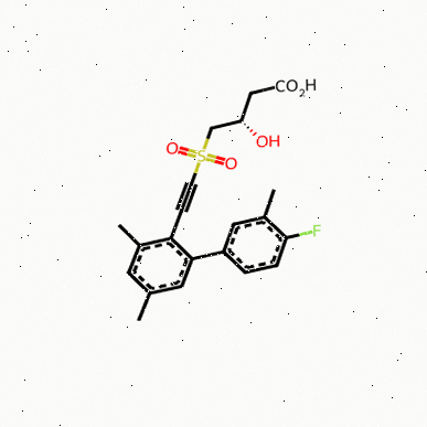 Cc1cc(C)c(C#CS(=O)(=O)C[C@@H](O)CC(=O)O)c(-c2ccc(F)c(C)c2)c1